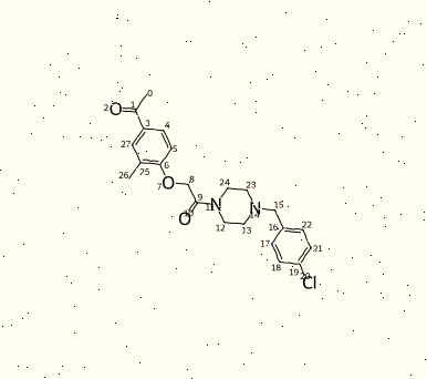 CC(=O)c1ccc(OCC(=O)N2CCN(Cc3ccc(Cl)cc3)CC2)c(C)c1